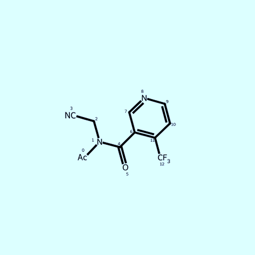 CC(=O)N(CC#N)C(=O)c1cnccc1C(F)(F)F